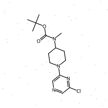 CN(C(=O)OC(C)(C)C)C1CCN(c2cncc(Cl)n2)CC1